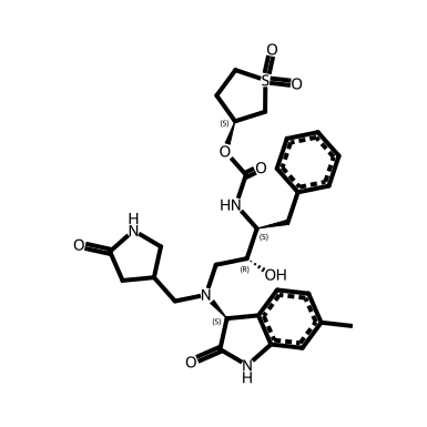 Cc1ccc2c(c1)NC(=O)[C@H]2N(CC1CNC(=O)C1)C[C@@H](O)[C@H](Cc1ccccc1)NC(=O)O[C@H]1CCS(=O)(=O)C1